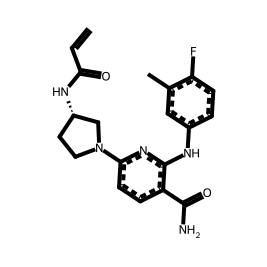 C=CC(=O)N[C@H]1CCN(c2ccc(C(N)=O)c(Nc3ccc(F)c(C)c3)n2)C1